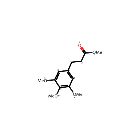 COC(=O)CCc1cc(OC)c(OC)c(OC)c1